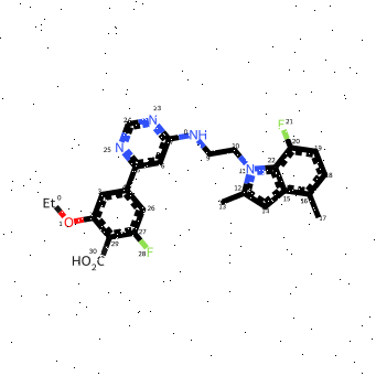 CCOc1cc(-c2cc(NCCn3c(C)cc4c(C)ccc(F)c43)ncn2)cc(F)c1C(=O)O